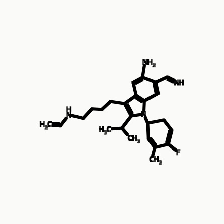 C=CNCCCCc1c(C(C)C)n(C2C=C(C)C(F)=CC2)c2cc(C=N)c(N)cc12